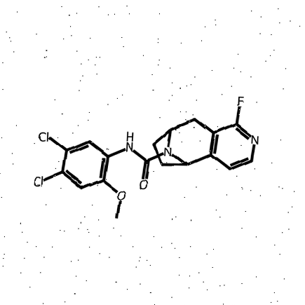 COc1cc(Cl)c(Cl)cc1NC(=O)N1C2CCC1c1ccnc(F)c1C2